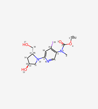 CN(C(=O)OC(C)(C)C)c1cnc(N2C[C@@H](O)C[C@@H]2CO)cc1I